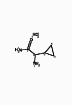 Cl.NC(=O)C(N)C1CC1